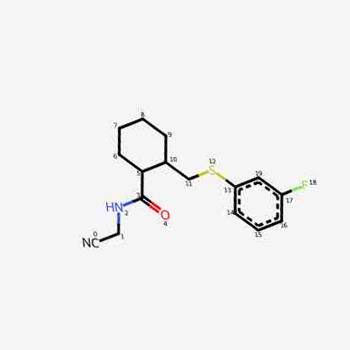 N#CCNC(=O)C1CCCCC1CSc1cccc(F)c1